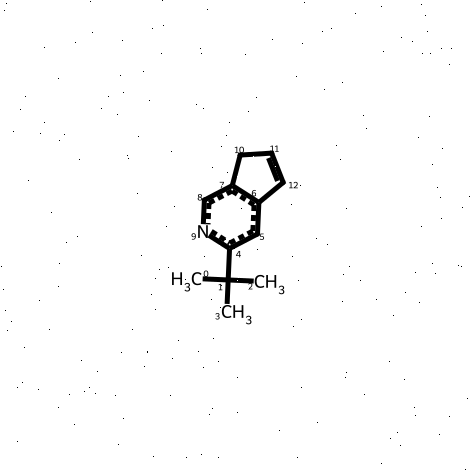 CC(C)(C)c1cc2c(cn1)CC=C2